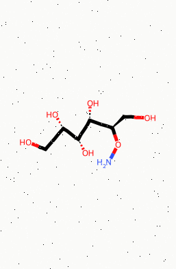 NO[C@H](CO)[C@@H](O)[C@H](O)[C@@H](O)CO